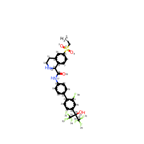 CCS(=O)(=O)c1ccc2c(c1)CCNC2C(=O)Nc1ccc(-c2ccc(C(O)(C(F)(F)F)C(F)(F)F)cc2F)cc1